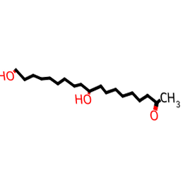 CC(=O)CCCCCCCC(O)CCCCCCCCCO